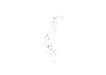 CC(=O)c1c(C)c2cnc(Nc3ccc(OCCN(C(C)=O)c4ncc(C(=O)NO)cn4)cn3)nc2n(C2CCCC2)c1=O